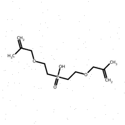 C=C(C)COCCP(=O)(O)CCOCC(=C)C